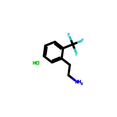 Cl.NCCc1ccccc1C(F)(F)F